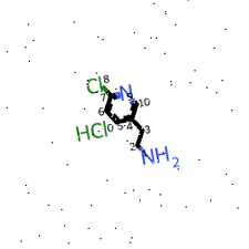 Cl.NCCc1ccc(Cl)nc1